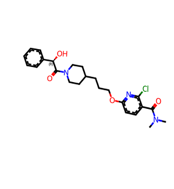 CN(C)C(=O)c1ccc(OCCCC2CCN(C(=O)[C@H](O)c3ccccc3)CC2)nc1Cl